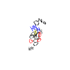 CC(=O)O.CC(C)c1ccc2occ(C=C3SC(Nc4cc[c]([Na])cc4)=NC3=O)c(=O)c2c1